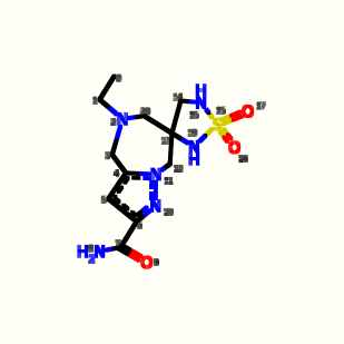 CCN1Cc2cc(C(N)=O)nn2CC2(CNS(=O)(=O)N2)C1